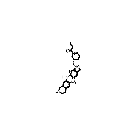 COc1cc2c(cc1Nc1ncc3cnn(C[C@H]4CCCN(C(=O)CI)C4)c3n1)CN(C)CC2